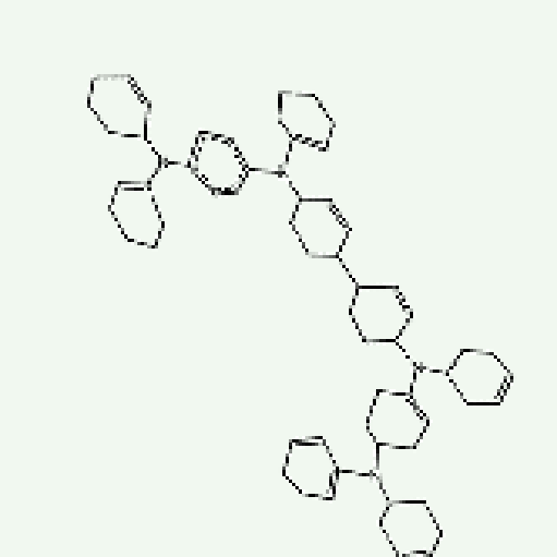 C1=CC(N(C2CC=CCC2)C2CC=C(N(C3C=CC(C4C=CC(B(C5=CCCCC5)c5ccc(N(C6=CCCCC6)C6C=CCCC6)cc5)CC4)CC3)C3CC=CCC3)CC2)=CCC1